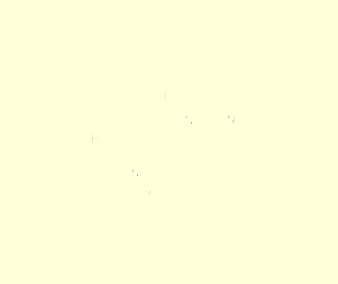 Cc1cn(C(C)(C)C)c2cc(-c3cccc4c3N[C@H](C)CC(=O)N4)ccc12